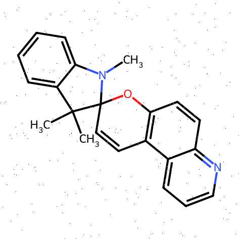 CN1c2ccccc2C(C)(C)C12C=Cc1c(ccc3ncccc13)O2